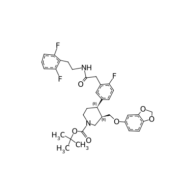 CC(C)(C)OC(=O)N1CC[C@@H](c2ccc(F)c(CC(=O)NCCc3c(F)cccc3F)c2)[C@@H](COc2ccc3c(c2)OCO3)C1